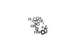 CC(C)(C)OC(=O)NC1CC(Nc2ccc(F)c(C(F)(F)F)c2)C1